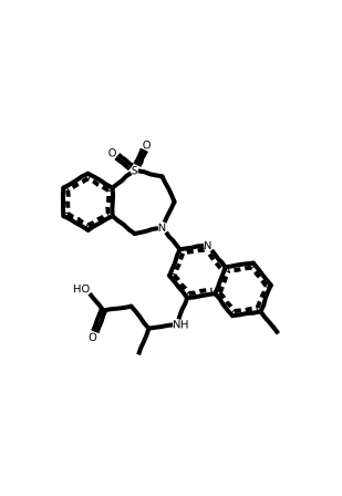 Cc1ccc2nc(N3CCS(=O)(=O)c4ccccc4C3)cc(NC(C)CC(=O)O)c2c1